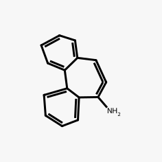 NC1=C=Cc2ccccc2-c2ccccc21